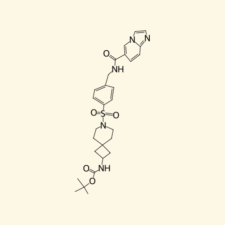 CC(C)(C)OC(=O)NC1CC2(CCN(S(=O)(=O)c3ccc(CNC(=O)c4ccc5nccn5c4)cc3)CC2)C1